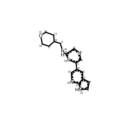 c1cc2cc(-c3cncc(NCC4CCOCC4)n3)cnc2[nH]1